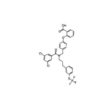 O=C(O)c1ccccc1Oc1ccc(CN(CCCc2cccc(OC(F)(F)F)c2)C(=O)c2cc(Cl)cc(Cl)c2)cc1